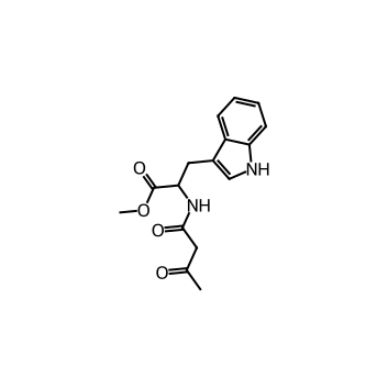 COC(=O)C(Cc1c[nH]c2ccccc12)NC(=O)CC(C)=O